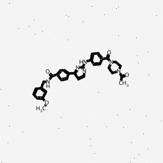 COc1cccc(CNC(=O)c2ccc(-c3ccnc(Nc4ccc(C(=O)N5CCN(C(C)=O)CC5)cc4)n3)cc2)c1